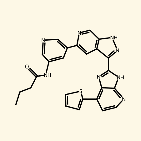 CCCC(=O)Nc1cncc(-c2cc3c(-c4nc5c(-c6cccs6)ccnc5[nH]4)n[nH]c3cn2)c1